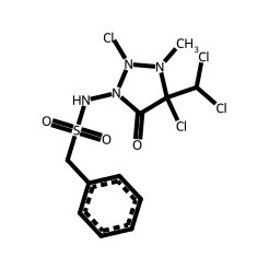 CN1N(Cl)N(NS(=O)(=O)Cc2ccccc2)C(=O)C1(Cl)C(Cl)Cl